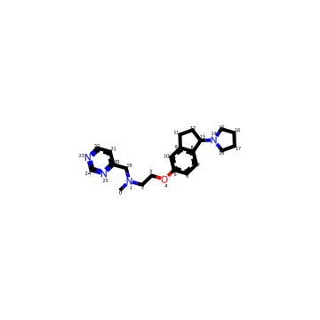 CN(CCOc1ccc2c(c1)CCC2N1CCCC1)Cc1ccncn1